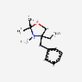 CC1(C)OCC(CC=O)(Cc2ccccc2)N1C(=O)O